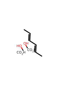 CC=CC=CC.O=C(O)O.O=C(O)O